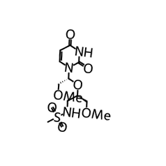 COC[C@@H](CNS(C)(=O)=O)O[C@H](COC)n1ccc(=O)[nH]c1=O